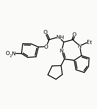 CCN1C(=O)C(NC(=O)Oc2ccc([N+](=O)[O-])cc2)N=C(C2CCCC2)c2ccccc21